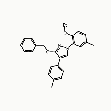 CCOc1ccc(C)cc1-n1cc(-c2ccc(C)cc2)c(OCc2ccccc2)n1